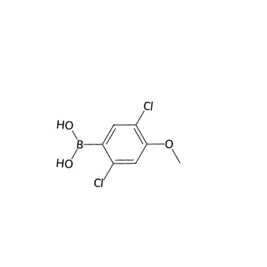 COc1cc(Cl)c(B(O)O)cc1Cl